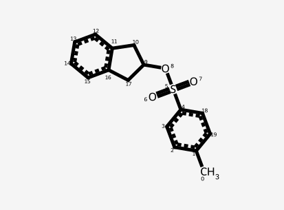 Cc1ccc(S(=O)(=O)OC2Cc3ccccc3C2)cc1